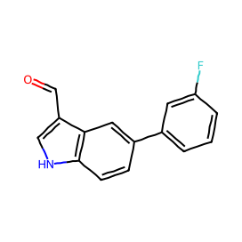 O=Cc1c[nH]c2ccc(-c3cccc(F)c3)cc12